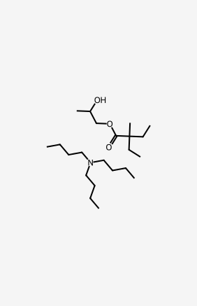 CCC(C)(CC)C(=O)OCC(C)O.CCCCN(CCCC)CCCC